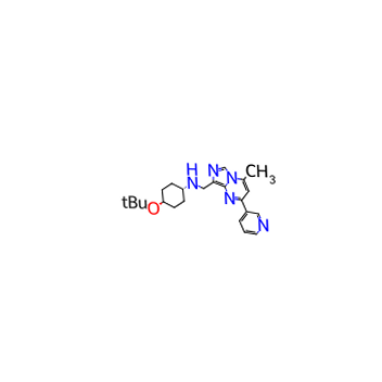 Cc1cc(-c2cccnc2)nc2c(CN[C@H]3CC[C@H](OC(C)(C)C)CC3)ncn12